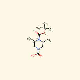 CC1CN(C(=O)O)CC(C)N1C(=O)OC(C)(C)C